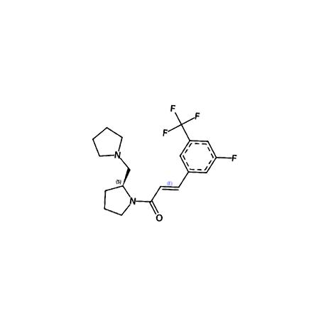 O=C(/C=C/c1cc(F)cc(C(F)(F)F)c1)N1CCC[C@H]1CN1CCCC1